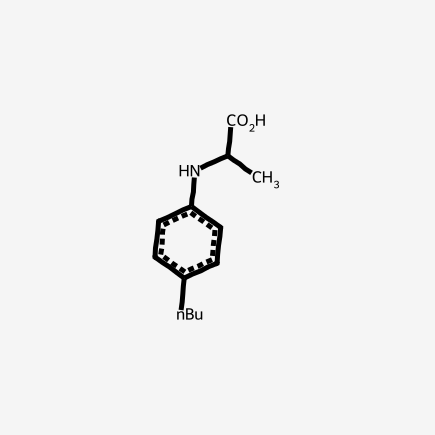 CCCCc1ccc(NC(C)C(=O)O)cc1